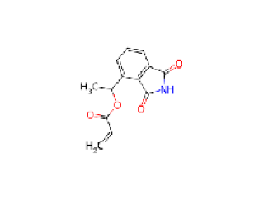 C=CC(=O)OC(C)c1cccc2c1C(=O)NC2=O